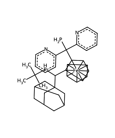 CC(C)(C)PC(C12CC3CC(CC(C3)C1)C2)[C]12[CH]3[CH]4[CH]5[C]1(C(P)(c1ccccn1)c1ccccn1)[Fe]43521678[CH]2[CH]1[CH]6[CH]7[CH]28